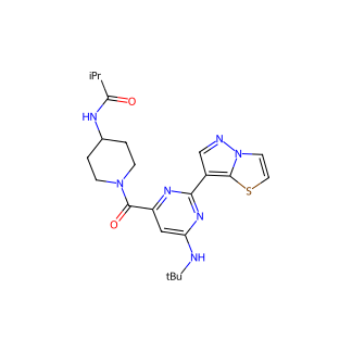 CC(C)C(=O)NC1CCN(C(=O)c2cc(NC(C)(C)C)nc(-c3cnn4ccsc34)n2)CC1